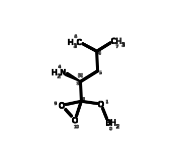 BOC1([C@@H](N)CC(C)C)OO1